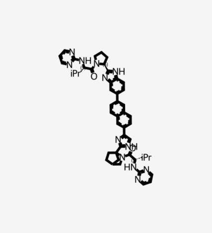 CC(C)[C@H](Nc1ncccn1)C(=O)N1CCC[C@H]1c1nc2cc(-c3ccc4cc(-c5c[nH]c(C67CCC(CN6C(=O)[C@@H](Nc6ncccn6)C(C)C)C7)n5)ccc4c3)ccc2[nH]1